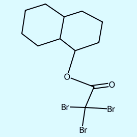 O=C(OC1CCCC2CCCCC21)C(Br)(Br)Br